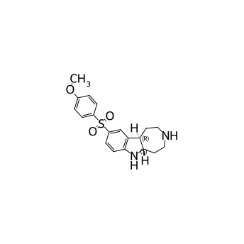 COc1ccc(S(=O)(=O)c2ccc3c(c2)[C@H]2CCNCC[C@@H]2N3)cc1